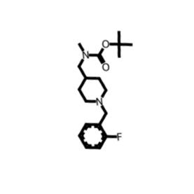 CN(CC1CCN(Cc2ccccc2F)CC1)C(=O)OC(C)(C)C